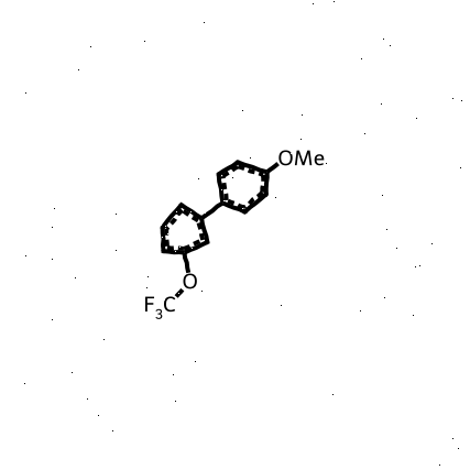 COc1ccc(-c2cccc(OC(F)(F)F)c2)cc1